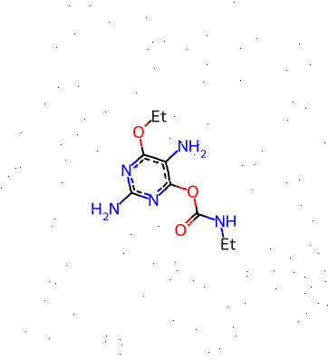 CCNC(=O)Oc1nc(N)nc(OCC)c1N